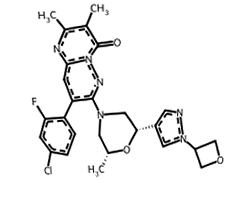 Cc1nc2cc(-c3ccc(Cl)cc3F)c(N3C[C@@H](C)O[C@@H](c4cnn(C5COC5)c4)C3)nn2c(=O)c1C